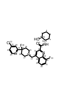 O=C(N[C@H]1CCCC[C@@H]1O)c1cc(CN2CCC(F)(c3cc(Cl)ccn3)CC2)c2cccc(F)c2n1